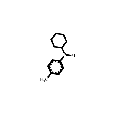 CCP(c1ccc(C)cc1)C1CCCCC1